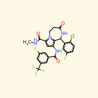 CNC(=O)c1cc(NC(=O)c2cc(F)cc(C(F)(F)F)c2)c2n1CCC(=O)NC2c1cc(F)ccc1Cl